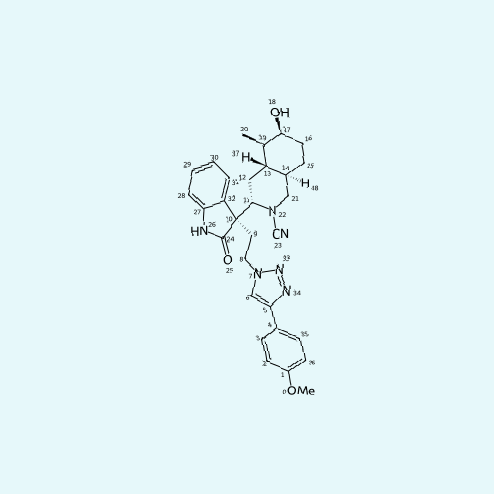 COc1ccc(-c2cn(CC[C@]3([C@@H]4C[C@H]5[C@@H](CC[C@H](O)[C@@H]5C)CN4C#N)C(=O)Nc4ccccc43)nn2)cc1